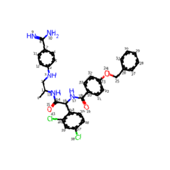 CC(CNc1ccc(C(=N)N)cc1)NC(=O)C(NC(=O)c1ccc(OCc2ccccc2)cc1)c1ccc(Cl)cc1Cl